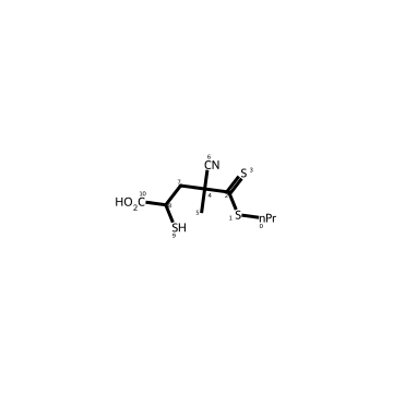 CCCSC(=S)C(C)(C#N)CC(S)C(=O)O